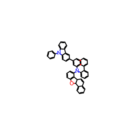 C1=CC2c3c(cccc3N(c3cccc(-c4ccc5c(c4)c4ccccc4n5-c4ccccc4)c3)c3ccccc3-c3ccccc3)OC2c2ccccc21